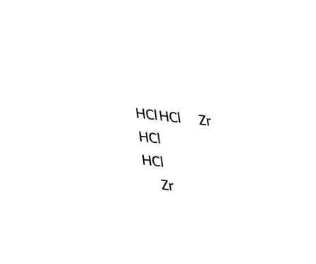 Cl.Cl.Cl.Cl.[Zr].[Zr]